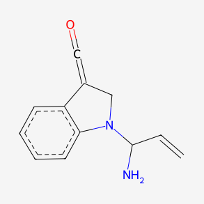 C=CC(N)N1CC(=C=O)c2ccccc21